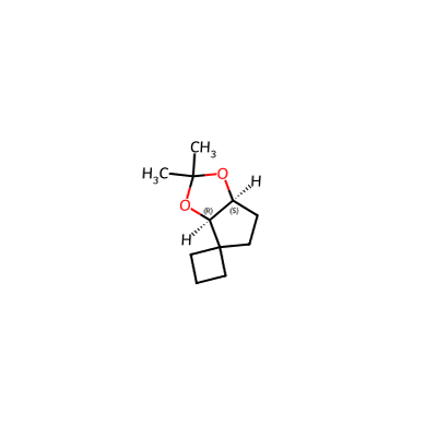 CC1(C)O[C@H]2CCC3(CCC3)[C@H]2O1